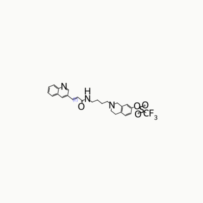 O=C(/C=C/c1cnc2ccccc2c1)NCCCCN1CCc2ccc(OS(=O)(=O)C(F)(F)F)cc2C1